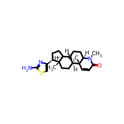 CN1C(=O)C=C[C@]2(C)[C@H]3CC[C@]4(C)[C@@H](c5csc(N)n5)CC[C@H]4[C@@H]3CC[C@@H]12